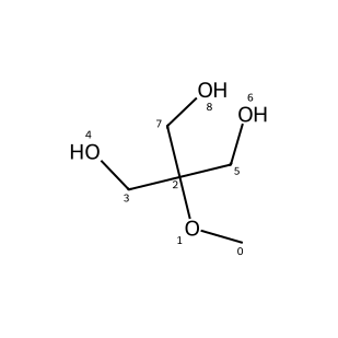 COC(CO)(CO)CO